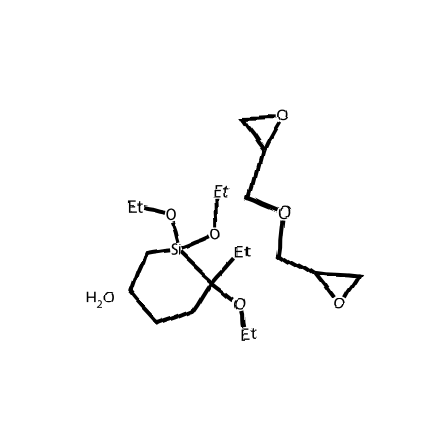 C(OCC1CO1)C1CO1.CCOC1(CC)CCCC[Si]1(OCC)OCC.O